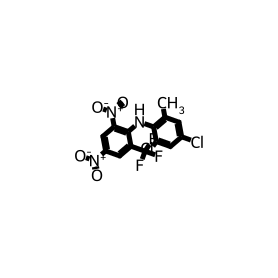 Cc1cc(Cl)cc(Cl)c1Nc1c([N+](=O)[O-])cc([N+](=O)[O-])cc1C(F)(F)F